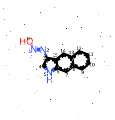 ON=Nc1c[nH]c2cc3ccccc3cc12